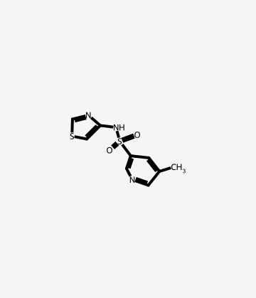 Cc1cncc(S(=O)(=O)Nc2cscn2)c1